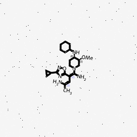 CO[C@H]1CN(/C(N)=C(/C=C(/C)N)c2nc(C3CC3)no2)CC[C@H]1NC1CCCCC1